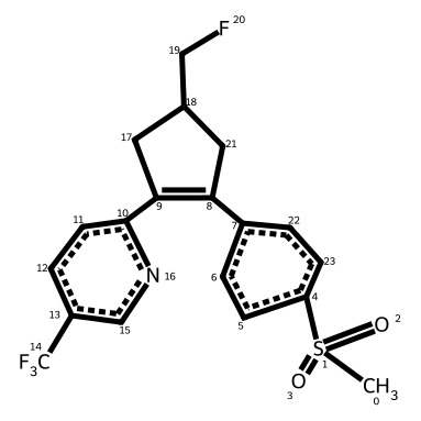 CS(=O)(=O)c1ccc(C2=C(c3ccc(C(F)(F)F)cn3)CC(CF)C2)cc1